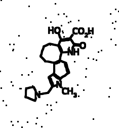 Cn1c(CN2CCCC2)cc2c3c(ccc21)-c1[nH]c(=O)c(C(=O)O)c(O)c1CCCC3